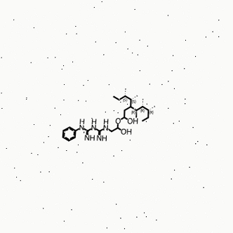 CC[C@@H](C)[C@@H](C)[C@@H](C)C(CC(O)OC(O)CNC(=N)NC(=N)Nc1ccccc1)[C@@H](C)[C@@H](C)CC